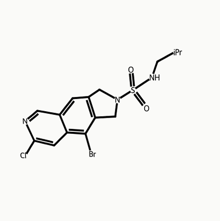 CC(C)CNS(=O)(=O)N1Cc2cc3cnc(Cl)cc3c(Br)c2C1